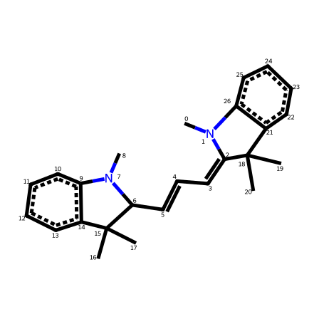 CN1/C(=C\C=C\C2N(C)c3ccccc3C2(C)C)C(C)(C)c2ccccc21